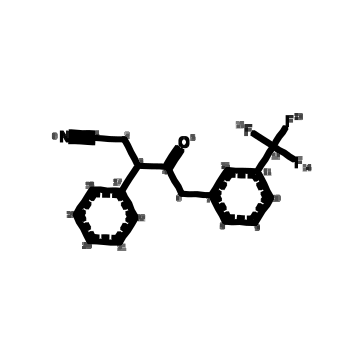 N#CCC(C(=O)Cc1cccc(C(F)(F)F)c1)c1ccccc1